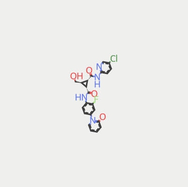 O=C(Nc1ccc(-n2ccccc2=O)cc1F)[C@@H]1[C@@H](CO)[C@@H]1C(=O)Nc1ccc(Cl)cn1